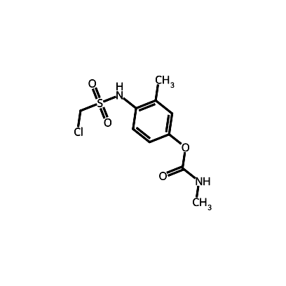 CNC(=O)Oc1ccc(NS(=O)(=O)CCl)c(C)c1